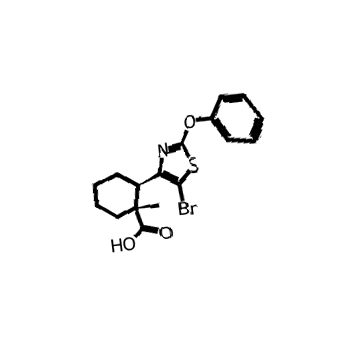 C[C@@]1(C(=O)O)CCCC[C@H]1c1nc(Oc2ccccc2)sc1Br